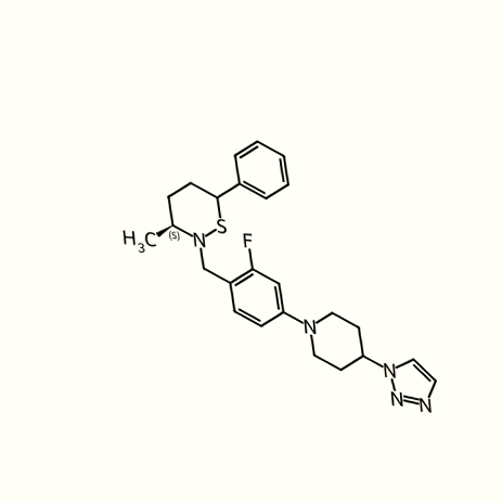 C[C@H]1CCC(c2ccccc2)SN1Cc1ccc(N2CCC(n3ccnn3)CC2)cc1F